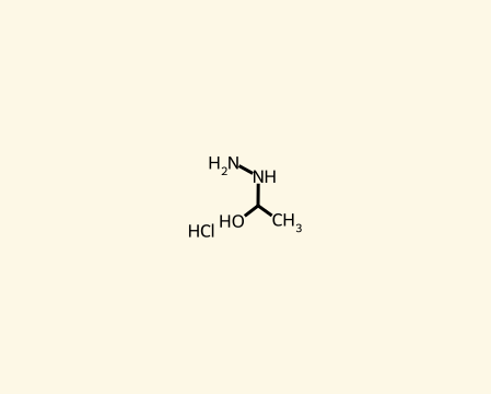 CC(O)NN.Cl